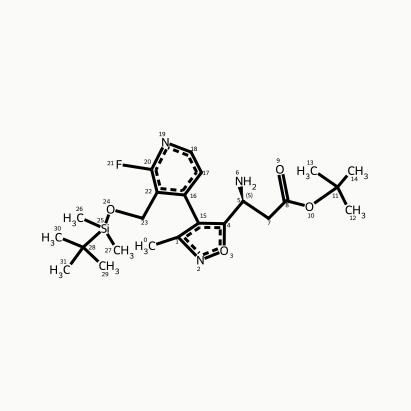 Cc1noc([C@@H](N)CC(=O)OC(C)(C)C)c1-c1ccnc(F)c1CO[Si](C)(C)C(C)(C)C